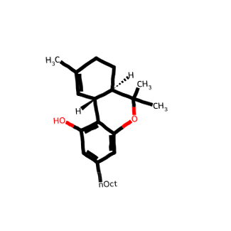 CCCCCCCCc1cc(O)c2c(c1)OC(C)(C)[C@@H]1CCC(C)=C[C@@H]21